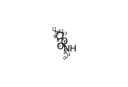 CCCNC(=O)Oc1ccc(C)cc1